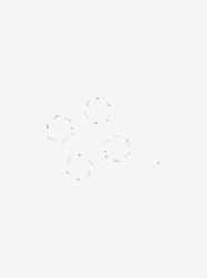 C.c1ccc([B-](c2ccccc2)(c2ccccc2)c2ccccc2)cc1